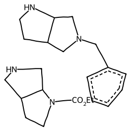 CCOC(=O)N1CCC2CNCC21.c1ccc(CN2CC3CCNC3C2)cc1